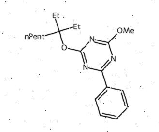 CCCCCC(CC)(CC)Oc1nc(OC)nc(-c2ccccc2)n1